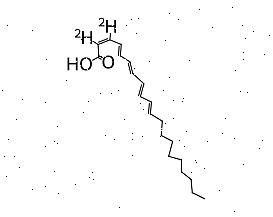 [2H]C(C=CC=CC=CC=CCCCCCCCCC)=C([2H])C(=O)O